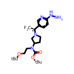 CC(C)(C)OCCN(C(=O)OC(C)(C)C)C1CCN([C@H](c2ccc(NN)nc2)C(F)(F)F)C1